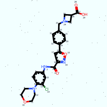 O=C(Nc1ccc(N2CCOCC2)c(Cl)c1)c1cc(-c2ccc(CN3CC(C(=O)O)C3)cc2)on1